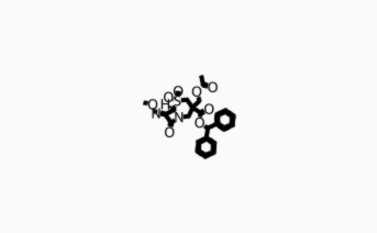 CON=C1C(=O)N2CC(COC(C)=O)(C(=O)OC(c3ccccc3)c3ccccc3)CS(=O)(=O)[C@H]12